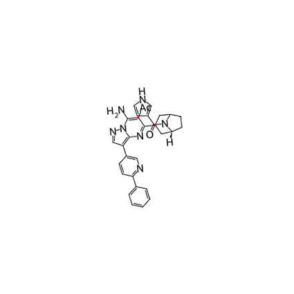 CC(=O)c1c(C2CC3CC[C@H](C2)N3C(=O)c2cc[nH]c2)nc2c(-c3ccc(-c4ccccc4)nc3)cnn2c1N